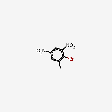 Cc1cc([N+](=O)[O-])cc([N+](=O)[O-])c1Br